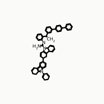 C=C(c1cccc(-c2ccc(-c3ccccc3)cc2)c1)c1ccccc1/N=C(\N)N1C2=C(CC(c3ccc4c(c3)c3c(n4C4=CCCC=C4)CCC=C3)C=C2)C2C=CC=CC21